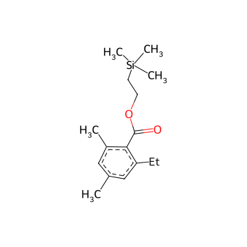 CCc1cc(C)cc(C)c1C(=O)OCC[Si](C)(C)C